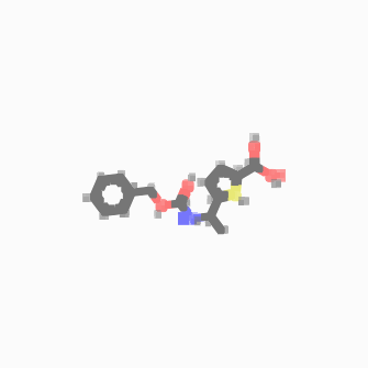 CC(NC(=O)OCc1ccccc1)c1ccc(C(=O)O)s1